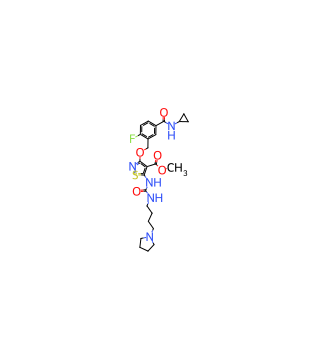 COC(=O)c1c(OCc2cc(C(=O)NC3CC3)ccc2F)nsc1NC(=O)NCCCCN1CCCC1